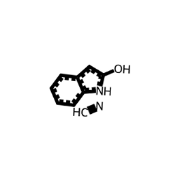 C#N.Oc1cc2ccccc2[nH]1